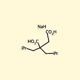 CC(C)CC(CC(=O)O)(CC(C)C)C(=O)O.[NaH]